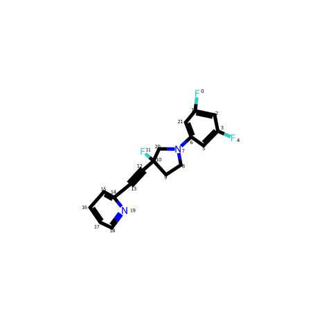 Fc1cc(F)cc(N2CCC(F)(C#Cc3ccccn3)C2)c1